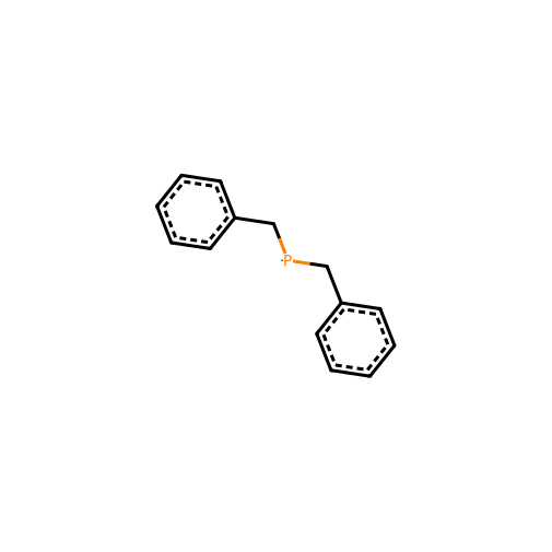 c1ccc(C[P]Cc2ccccc2)cc1